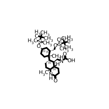 CC(C)(C)[Si](C)(C)OC[C@H]1C[C@@H](O[Si](C)(C)C(C)(C)C)CC[C@]1(C)[C@H]1CC[C@]2(C)NC(=O)CC[C@H]2[C@@H]1CNC(=O)O